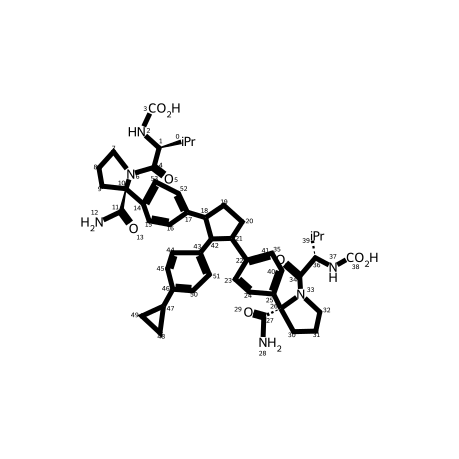 CC(C)[C@H](NC(=O)O)C(=O)N1CCC[C@@]1(C(N)=O)c1ccc(C2CCC(c3ccc([C@]4(C(N)=O)CCCN4C(=O)[C@@H](NC(=O)O)C(C)C)cc3)C2c2ccc(C3CC3)cc2)cc1